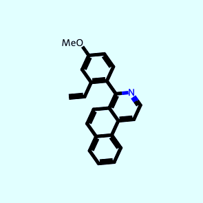 C=Cc1cc(OC)ccc1-c1nccc2c1ccc1ccccc12